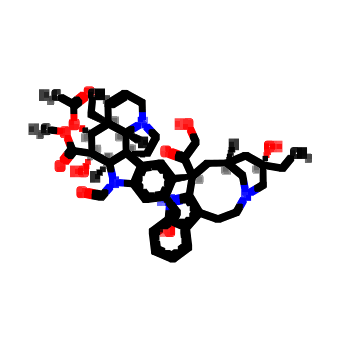 CC[C@]1(O)C[C@H]2CN(CCc3c([nH]c4ccccc34)[C@@](C(=O)CO)(c3cc4c(cc3CO)N(C=O)[C@H]3[C@@](O)(C(=O)OC)[C@H](OC(C)=O)[C@]5(CC)C=CCN6CC[C@]43[C@@H]65)C2)C1